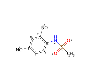 CS(=O)(=O)Nc1ccc(C#N)cc1N=O